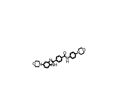 O=C(Nc1ccc(N2CCOCC2)cc1)c1ccc(-c2nc3cc(N4CCOCC4)ccc3[nH]2)cc1